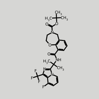 CC(C)(C)OC(=O)N1CCOc2c(cccc2C(=O)NC(C)(C)c2nc(C(F)(F)F)c3c(F)cccn23)C1